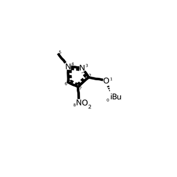 CC[C@@H](C)Oc1nn(C)cc1[N+](=O)[O-]